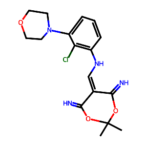 CC1(C)OC(=N)C(=CNc2cccc(N3CCOCC3)c2Cl)C(=N)O1